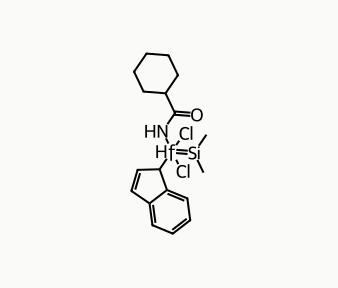 C[Si](C)=[Hf]([Cl])([Cl])([NH]C(=O)C1CCCCC1)[CH]1C=Cc2ccccc21